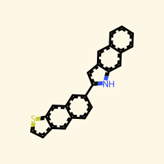 c1ccc2cc3[nH]c(-c4ccc5cc6ccsc6cc5c4)cc3cc2c1